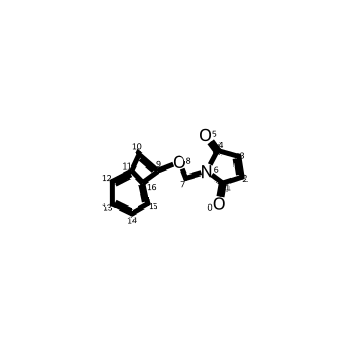 O=C1C=CC(=O)N1COC1=Cc2ccccc21